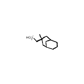 CC1(CC(=O)O)CC2CCCC(C2)C1